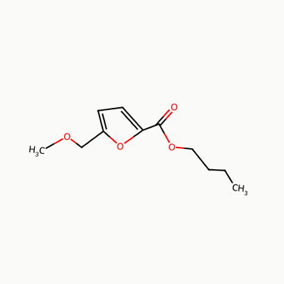 CCCCOC(=O)c1ccc(COC)o1